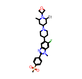 CCC1CC(N2CCC(c3cc4nc(-c5ccc(S(C)(=O)=O)cc5)n(C)c4cc3F)CC2)CC(C)N1C1COC1